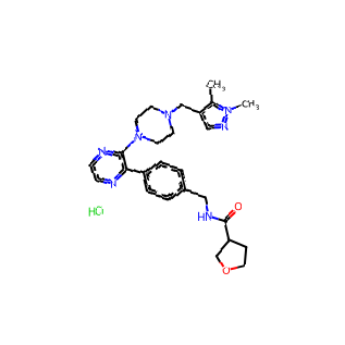 Cc1c(CN2CCN(c3nccnc3-c3ccc(CNC(=O)C4CCOC4)cc3)CC2)cnn1C.Cl